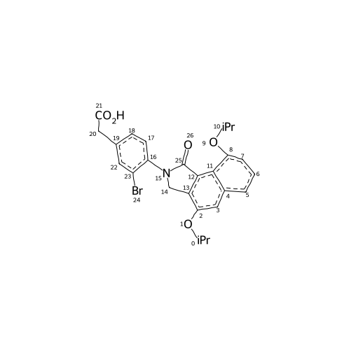 CC(C)Oc1cc2cccc(OC(C)C)c2c2c1CN(c1ccc(CC(=O)O)cc1Br)C2=O